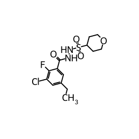 CCc1cc(Cl)c(F)c(C(=O)NNS(=O)(=O)C2CCOCC2)c1